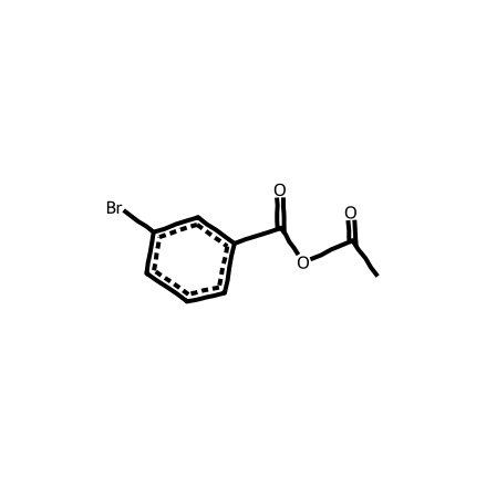 CC(=O)OC(=O)c1cccc(Br)c1